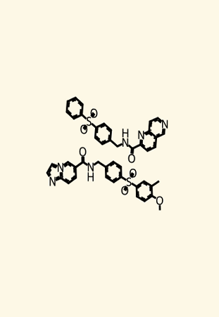 COc1ccc(S(=O)(=O)c2ccc(CNC(=O)c3ccc4nccn4c3)cc2)cc1C.O=C(NCc1ccc(S(=O)(=O)c2ccccc2)cc1)c1ccc2cnccc2n1